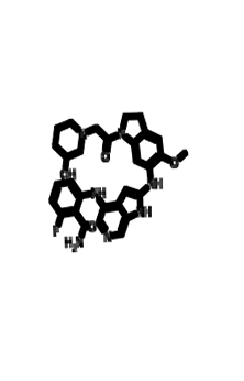 COc1cc2c(cc1Nc1cc3c(Nc4cccc(F)c4C(N)=O)cncc3[nH]1)N(C(=O)CN1CCCC(O)C1)CC2